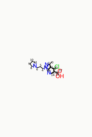 Cc1nn(CCCN2CCCC2)c2ncc(C(=O)O)c(Cl)c12